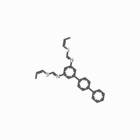 C/C=C\S/C=N/c1cc(/N=C/S/C=C\C)cc(-c2ccc(-c3ccccc3)cc2)c1